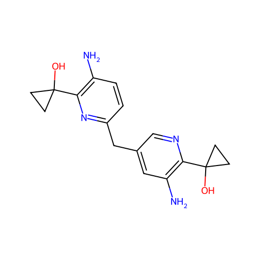 Nc1cc(Cc2ccc(N)c(C3(O)CC3)n2)cnc1C1(O)CC1